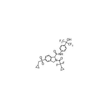 O=C(Nc1ccc(C(O)(C(F)(F)F)C(F)(F)F)cc1)C1c2ccc(S(=O)(=O)CC3CC3)cc2CN1C(=O)C(F)(F)C1CC1